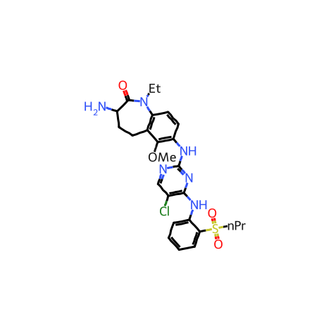 CCCS(=O)(=O)c1ccccc1Nc1nc(Nc2ccc3c(c2OC)CCC(N)C(=O)N3CC)ncc1Cl